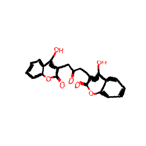 O=C(Cc1c(O)c2ccccc2oc1=O)Cc1c(O)c2ccccc2oc1=O